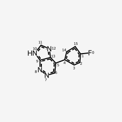 Fc1ccc(-c2cnnc3[nH]cnc23)cc1